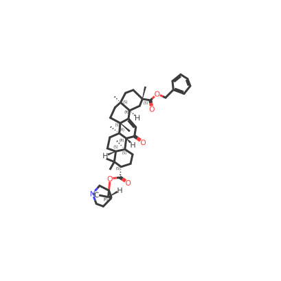 CC1(C)[C@@H](C(=O)O[C@H]2CN3CCC2CC3)CC[C@]2(C)[C@H]3C(=O)C=C4[C@@H]5C[C@@](C)(C(=O)OCc6ccccc6)CC[C@]5(C)CC[C@@]4(C)[C@]3(C)CC[C@@H]12